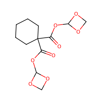 O=C(OC1OCO1)C1(C(=O)OC2OCO2)CCCCC1